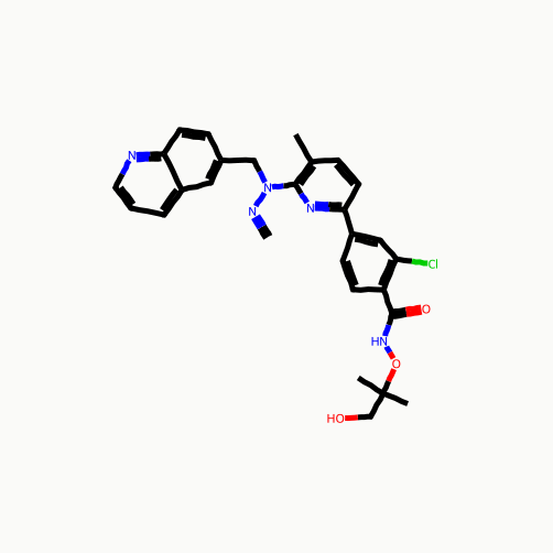 C=NN(Cc1ccc2ncccc2c1)c1nc(-c2ccc(C(=O)NOC(C)(C)CO)c(Cl)c2)ccc1C